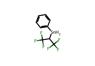 FC(F)(F)[CH]([SnH2][c]1ccccc1)C(F)(F)F